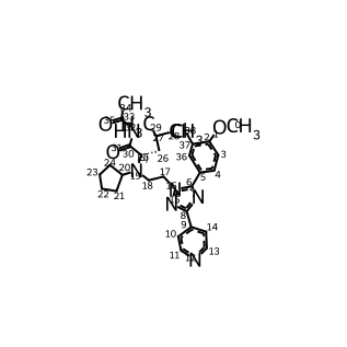 COc1ccc(-c2nc(-c3ccncc3)nn2CCN(C2CCCC2)[C@@H](CC(C)C)C(=O)NC(C)=O)cc1Cl